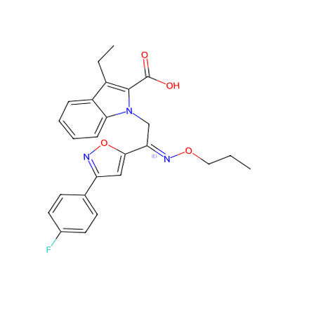 CCCO/N=C(\Cn1c(C(=O)O)c(CC)c2ccccc21)c1cc(-c2ccc(F)cc2)no1